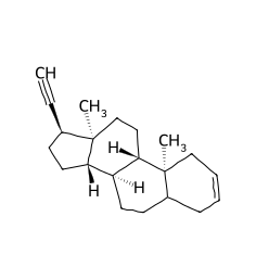 C#C[C@@H]1CC[C@H]2[C@@H]3CCC4CC=CC[C@]4(C)[C@H]3CC[C@]12C